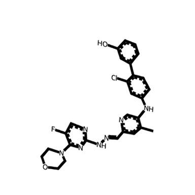 Cc1cc(/C=N/Nc2ncc(F)c(N3CCOCC3)n2)ncc1Nc1ccc(-c2cccc(O)c2)c(Cl)c1